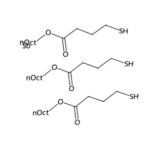 CCCCCCCCOC(=O)CCCS.CCCCCCCCOC(=O)CCCS.CCCCCCCCOC(=O)CCCS.[Sb]